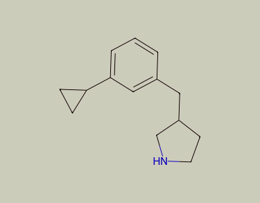 c1cc(CC2CCNC2)cc(C2CC2)c1